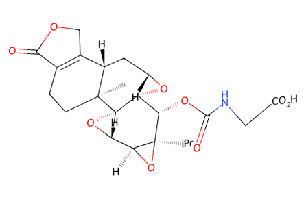 CC(C)[C@]12O[C@H]1[C@@H]1O[C@]13[C@]1(O[C@H]1C[C@H]1C4=C(CC[C@@]13C)C(=O)OC4)[C@@H]2OC(=O)NCC(=O)O